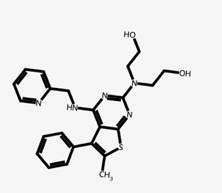 Cc1sc2nc(N(CCO)CCO)nc(NCc3ccccn3)c2c1-c1ccccc1